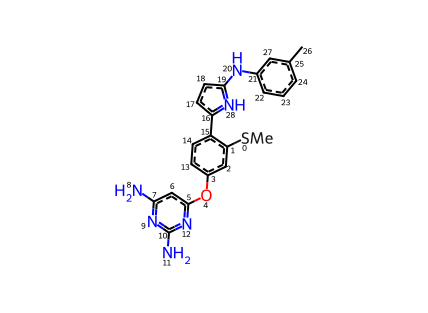 CSc1cc(Oc2cc(N)nc(N)n2)ccc1-c1ccc(Nc2cccc(C)c2)[nH]1